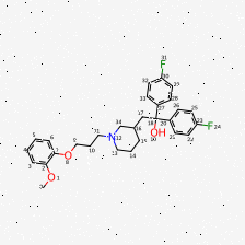 COc1c[c]ccc1OCCCN1CCCC(CC(O)(c2ccc(F)cc2)c2ccc(F)cc2)C1